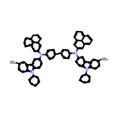 CC(C)(C)c1ccc2c(c1)c1cc(N(C3=CC4=CC=CC5=CC=CC(=C3)C54)c3ccc(-c4ccc(N(c5cc6c7c(cccc7c5)CC=C6)c5ccc6c(c5)c5cc(C(C)(C)C)ccc5n6-c5ccccc5)cc4)cc3)ccc1n2-c1ccccc1